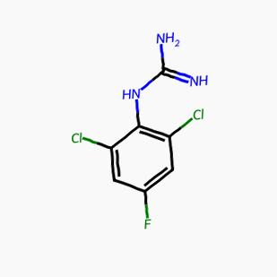 N=C(N)Nc1c(Cl)cc(F)cc1Cl